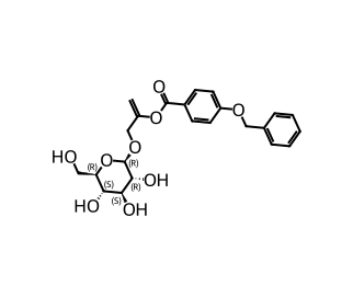 C=C(CO[C@@H]1O[C@H](CO)[C@@H](O)[C@H](O)[C@H]1O)OC(=O)c1ccc(OCc2ccccc2)cc1